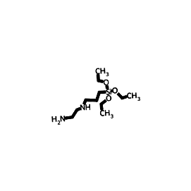 CCO[Si](CCCNCCN)(OCC)OCC